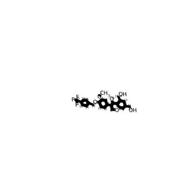 COc1cc(-c2coc3cc(CO)cc(CO)c3c2=O)ccc1OCc1ccc(C(F)(F)F)cc1